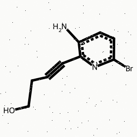 Nc1ccc(Br)nc1C#CCCO